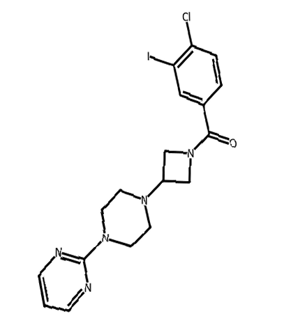 O=C(c1ccc(Cl)c(I)c1)N1CC(N2CCN(c3ncccn3)CC2)C1